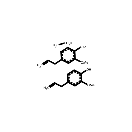 C=CCc1ccc(O)c(OC)c1.C=CCc1ccc(OC(C)=O)c(OC)c1.CC(=O)O